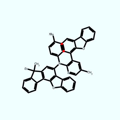 CCC1(C)c2ccccc2-c2c1cc(N(c1ccc(C(C)(C)C)cc1)c1ncc(C)cc1-c1cccc3c1oc1ccccc13)c1c2oc2ccccc21